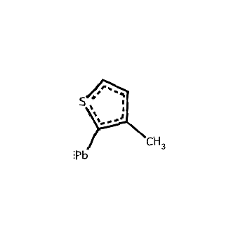 Cc1ccs[c]1[Pb]